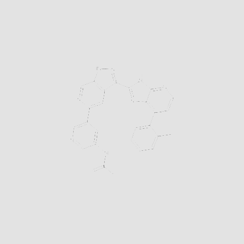 CCC(=O)Nc1cncc(-c2cc3c(-c4nc5c(-c6ccccc6F)ccnc5[nH]4)n[nH]c3cn2)c1